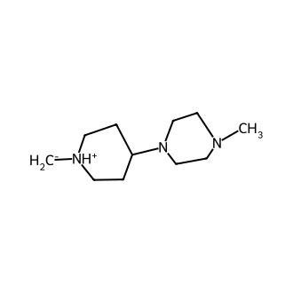 [CH2-][NH+]1CCC(N2CCN(C)CC2)CC1